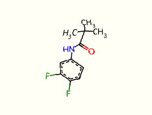 CC(C)(C)C(=O)Nc1ccc(F)c(F)c1